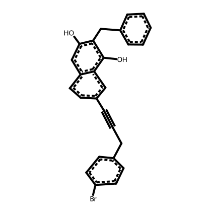 Oc1cc2ccc(C#CCc3ccc(Br)cc3)cc2c(O)c1Cc1ccccc1